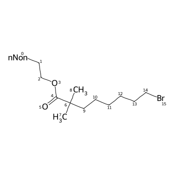 CCCCCCCCCCCOC(=O)C(C)(C)CCCCCCBr